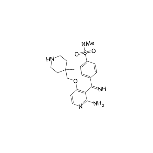 CNS(=O)(=O)c1ccc(C(=N)c2c(OCC3(C)CCNCC3)ccnc2N)cc1